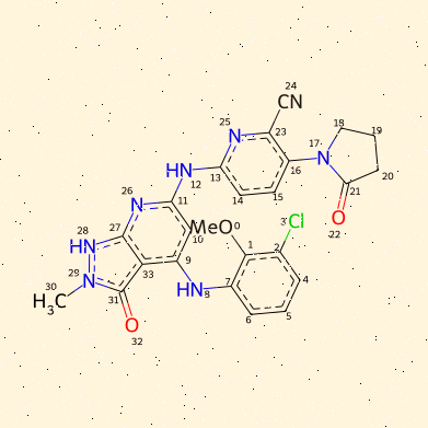 COc1c(Cl)cccc1Nc1cc(Nc2ccc(N3CCCC3=O)c(C#N)n2)nc2[nH]n(C)c(=O)c12